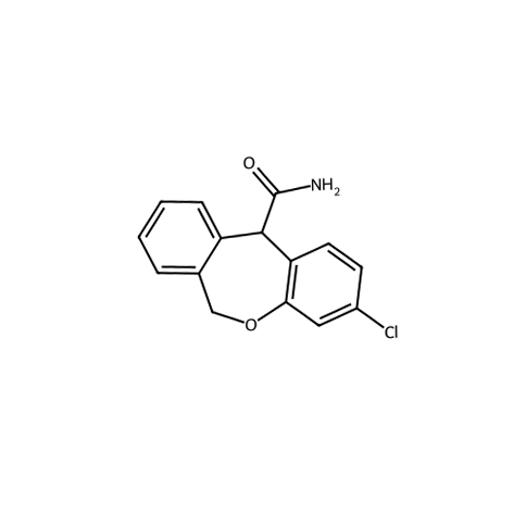 NC(=O)C1c2ccccc2COc2cc(Cl)ccc21